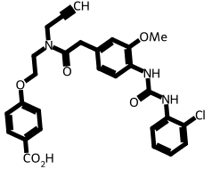 C#CCN(CCOc1ccc(C(=O)O)cc1)C(=O)Cc1ccc(NC(=O)Nc2ccccc2Cl)c(OC)c1